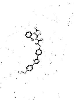 CCc1ccccc1N1C(=O)CSC1=NC(=O)NCc1ccc(-c2ncn(-c3ccc(OC(F)(F)F)cc3)n2)cc1